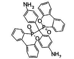 Nc1ccc(C(c2ccc(N)cc2)(P2(=O)Oc3ccccc3-c3ccccc32)P2(=O)Oc3ccccc3-c3ccccc32)cc1